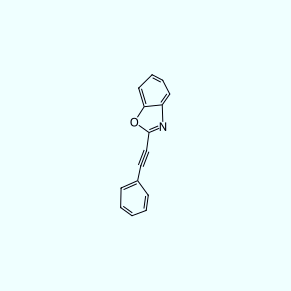 C(#Cc1nc2ccccc2o1)c1ccccc1